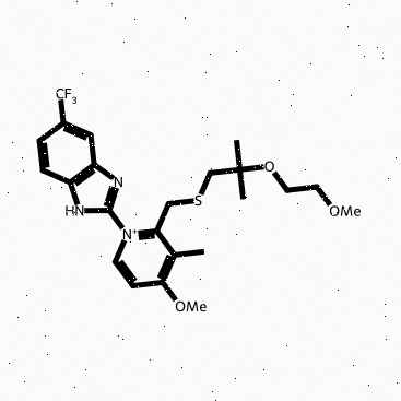 COCCOC(C)(C)CSCc1c(C)c(OC)cc[n+]1-c1nc2cc(C(F)(F)F)ccc2[nH]1